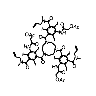 C=CCN(C)C(=O)c1c(I)c(NC(=O)COC(C)=O)c(I)c(C(=O)N2CCN(C(=O)c3c(I)c(NC(=O)COC(C)=O)c(I)c(C(=O)N(C)CC=C)c3I)CCN(C(=O)c3c(I)c(NC(=O)COC(C)=O)c(I)c(C(=O)N(C)CC=C)c3I)CC2)c1I